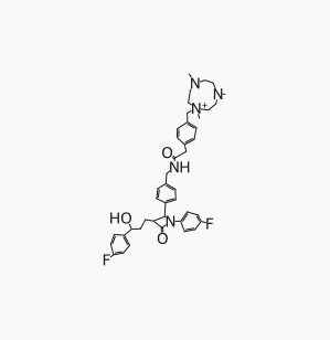 CN1CCN(C)CC[N+](C)(Cc2ccc(CC(=O)NCc3ccc(C4C(CCC(O)c5ccc(F)cc5)C(=O)N4c4ccc(F)cc4)cc3)cc2)CC1